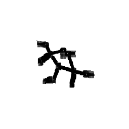 CCCCN(P(O)(O)=S)P(O)(O)=S